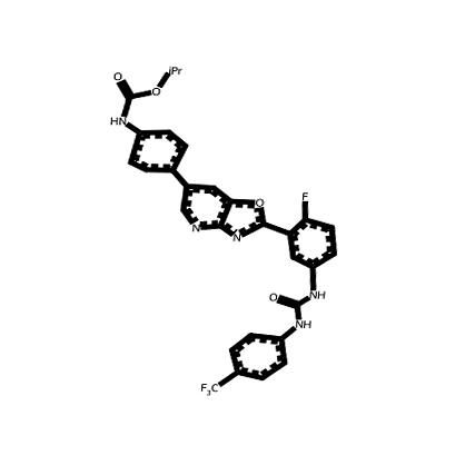 CC(C)OC(=O)Nc1ccc(-c2cnc3nc(-c4cc(NC(=O)Nc5ccc(C(F)(F)F)cc5)ccc4F)oc3c2)cc1